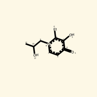 CCc1c(O)c(=O)ccn1CC(C)O